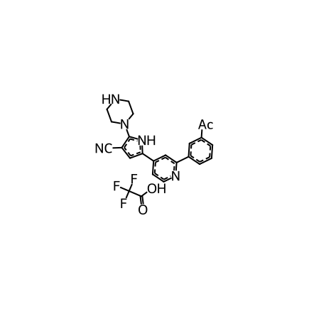 CC(=O)c1cccc(-c2cc(-c3cc(C#N)c(N4CCNCC4)[nH]3)ccn2)c1.O=C(O)C(F)(F)F